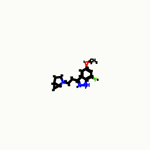 COc1cc(F)c2[nH]nc(CCN3CCC4CC43)c2c1